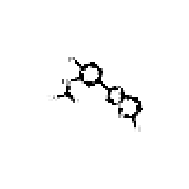 CCc1ccc(-c2cn3nc(Cl)ccc3n2)cc1NC(=O)C(C)(C)C